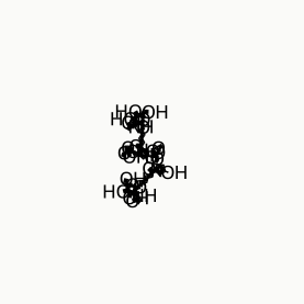 COOP(=O)(OC[C@@H]1C[C@@H](O)CN1C(=O)CCCCOC1OC(CO)C(O)C(O)C1NC(C)=O)O[C@@H]1C[C@@H](COP(=O)(O)OC)N(C(=O)CCCCOC2OC(CO)C(O)C(O)C2NC(C)=O)C1